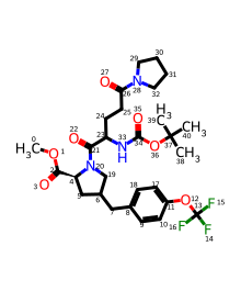 COC(=O)[C@@H]1CC(Cc2ccc(OC(F)(F)F)cc2)CN1C(=O)C(CCC(=O)N1CCCC1)NC(=O)OC(C)(C)C